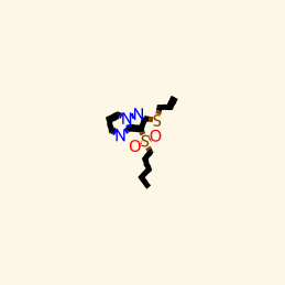 C=CCSc1nn2cccnc2c1S(=O)(=O)CCCCC